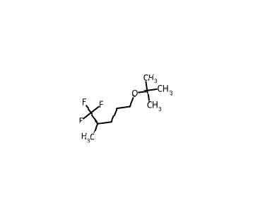 CC(CCCOC(C)(C)C)C(F)(F)F